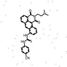 CN(C)CCN1C(=O)c2cccc3cc4c(NC(=S)Nc5ccc(C#N)cc5)cccc4c(c23)C1=O